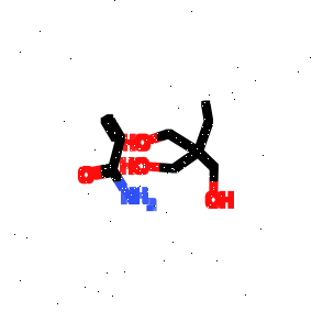 C=CC(N)=O.CCC(CO)(CO)CO